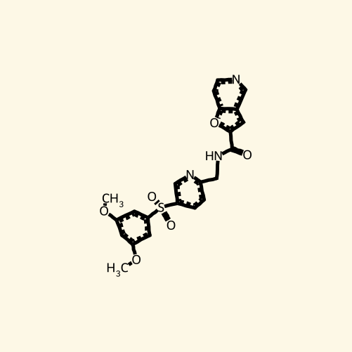 COc1cc(OC)cc(S(=O)(=O)c2ccc(CNC(=O)c3cc4cnccc4o3)nc2)c1